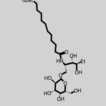 CCCCCCCCCCCCCCCCCCCCC(=O)N[C@@H](CO[C@H]1O[C@H](CO)[C@H](O)[C@H](O)[C@H]1O)[C@H](O)[C@H](O)CC